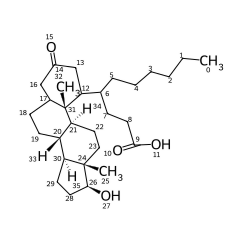 CCCCCCC(CCC(=O)O)C1CC(=O)CC2CC[C@@H]3[C@H](CC[C@]4(C)[C@@H](O)CC[C@@H]34)[C@]21C